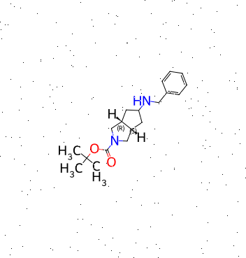 CC(C)(C)OC(=O)N1C[C@H]2CC(NCc3ccccc3)C[C@H]2C1